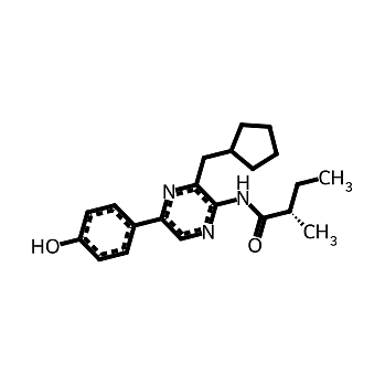 CC[C@H](C)C(=O)Nc1ncc(-c2ccc(O)cc2)nc1CC1CCCC1